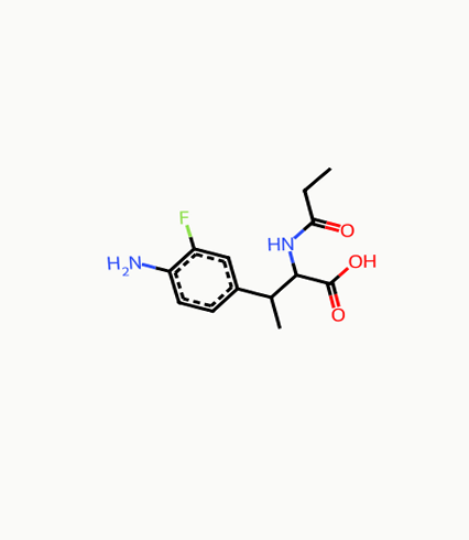 CCC(=O)NC(C(=O)O)C(C)c1ccc(N)c(F)c1